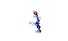 CC(CC(=O)NCC1CCOCC1)n1cc2c(N)nc3cc(-c4cc[nH]n4)ccc3c2n1